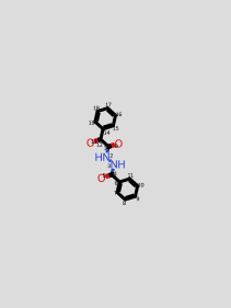 O=C(NNC(=O)c1ccccc1)C(=O)c1ccccc1